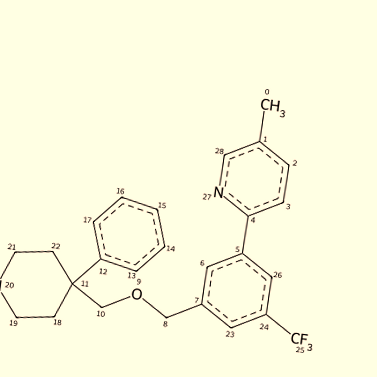 Cc1ccc(-c2cc(COCC3(c4ccccc4)CCNCC3)cc(C(F)(F)F)c2)nc1